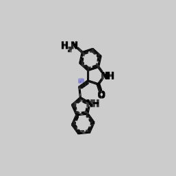 Nc1ccc2c(c1)/C(=C/c1cc3ccccc3[nH]1)C(=O)N2